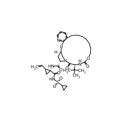 C=CC1C[C@]1(NC(=O)[C@@H]1C[C@@H]2CN1C(=O)[C@H](C(C)(C)C)NC(=O)OCCCCCCCc1cccnc1O2)C(=O)NS(=O)(=O)C1CC1